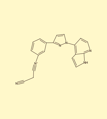 N#CCC#[N+]c1cccc(-c2ccn(-c3ccnc4[nH]ccc34)n2)c1